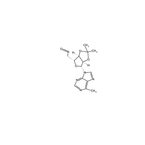 Cc1ncnc2c1ncn2[C@@H]1O[C@H](CN=O)[C@H]2OC(C)(C)O[C@H]21